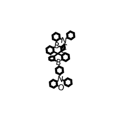 c1ccc(N2c3ccccc3B3c4ccccc4C4(c5ccccc5B(c5ccc(N6c7ccccc7Oc7ccccc76)cc5)c5ccccc54)c4cccc2c43)cc1